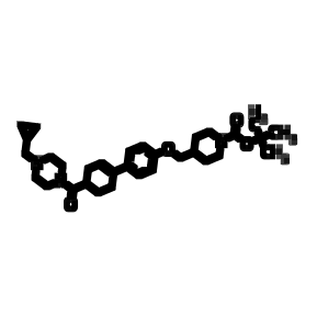 CC(C)(C)OC(=O)N1CCC(COc2ccc(C3=CCC(C(=O)N4CCN(CC5CC5)CC4)CC3)cc2)CC1